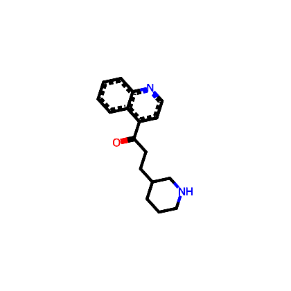 O=C(CCC1CCCNC1)c1ccnc2ccccc12